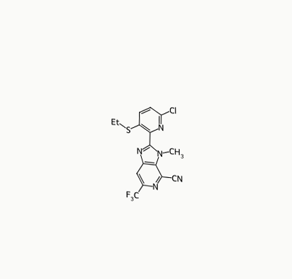 CCSc1ccc(Cl)nc1-c1nc2cc(C(F)(F)F)nc(C#N)c2n1C